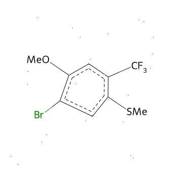 COc1cc(C(F)(F)F)c(SC)cc1Br